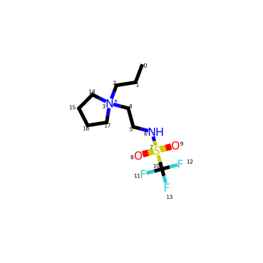 CCC[N+]1(CCNS(=O)(=O)C(F)(F)F)CCCC1